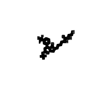 CC(C)(C)OC(=O)CC(c1cccc(C(F)(F)F)c1)N1CCN(CCCCNC(=O)NCCCl)C1=O